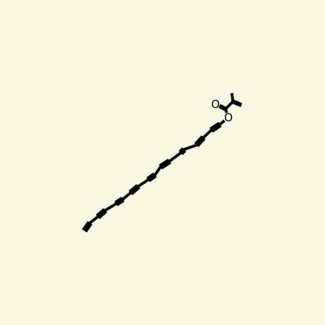 C#CC#CC#CC#CC#CC#CC#CC#CC#COC(=O)C(=C)C